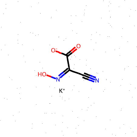 N#CC(=NO)C(=O)[O-].[K+]